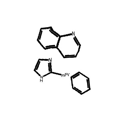 CCCc1ncc[nH]1.c1ccc2ncccc2c1.c1ccccc1